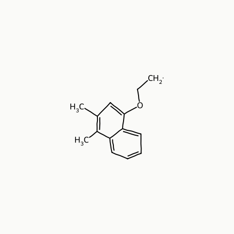 [CH2]COc1cc(C)c(C)c2ccccc12